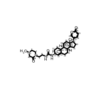 CN1CCN(CCNC(=O)N[C@@H]2C=C3CC[C@@H]4[C@H](CC[C@]5(C)[C@@H](c6ccc(=O)oc6)CC[C@]45O)[C@@]3(C)CC2)C(=O)C1